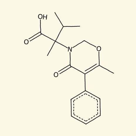 CC1=C(c2ccccc2)C(=O)N(C(C)(C(=O)O)C(C)C)CO1